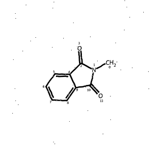 [CH2]N1C(=O)c2ccccc2C1=O